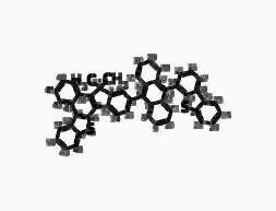 CC1(C)c2cc(-c3c4ccccc4c(-c4cccc5c4sc4ccccc45)c4ccccc34)ccc2-c2c1c1ccccc1c1c2sc2ccccc21